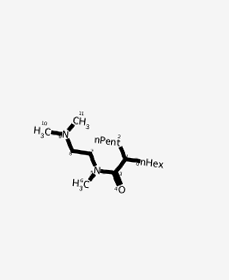 CCCCCCC(CCCCC)C(=O)N(C)CCN(C)C